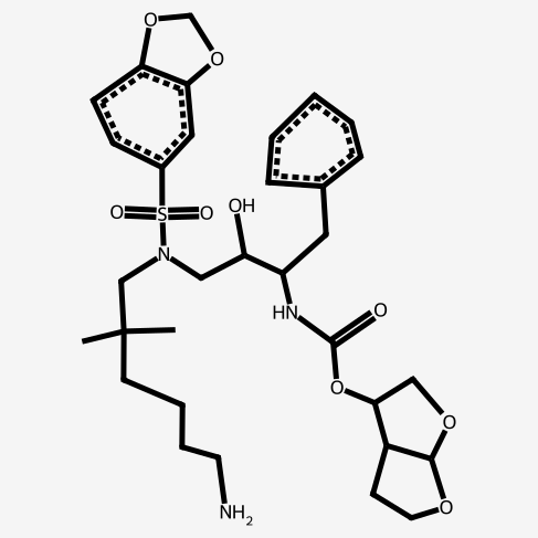 CC(C)(CCCCN)CN(CC(O)C(Cc1ccccc1)NC(=O)OC1COC2OCCC12)S(=O)(=O)c1ccc2c(c1)OCO2